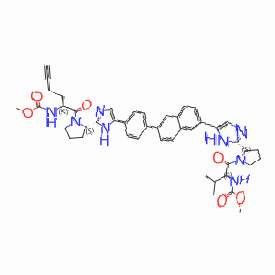 C#CCC[C@H](NC(=O)OC)C(=O)N1CCC[C@H]1c1ncc(-c2ccc(-c3ccc4cc(-c5cnc([C@@H]6CCCN6C(=O)[C@@H](NC(=O)OC)C(C)C)[nH]5)ccc4c3)cc2)[nH]1